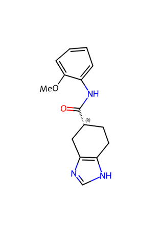 COc1ccccc1NC(=O)[C@@H]1CCc2[nH]cnc2C1